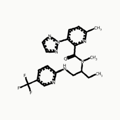 CCC(CNc1ccc(C(F)(F)F)cn1)N(C)C(=O)c1nc(C)ccc1-n1nccn1